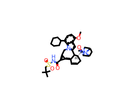 COc1ccc(C2CCCCC2)c2c1cc1n2CC2=C(C(=O)NS(=O)(=O)CC(C)(C)C)C2=C2C=CC[C@@H](C(=O)N3C4CC3CN(C)C4)C21